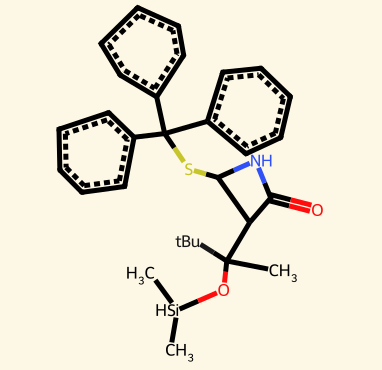 C[SiH](C)OC(C)(C1C(=O)NC1SC(c1ccccc1)(c1ccccc1)c1ccccc1)C(C)(C)C